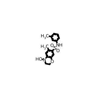 Cc1cccc(NS(=O)(=O)c2cc3c(cc2C)N(O)CCO3)c1